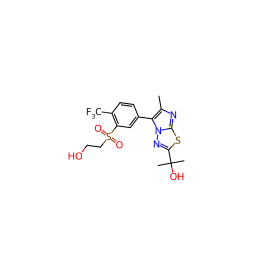 Cc1nc2sc(C(C)(C)O)nn2c1-c1ccc(C(F)(F)F)c(S(=O)(=O)CCO)c1